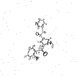 Cn1cc(C(=O)Cc2cccnc2)cc1C(=O)c1ccccc1F